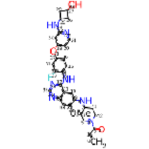 C=CC(=O)N1CCC(Nc2cc3c(Nc4ccc(Oc5ccnc(NC6CC(O)C6)c5)cc4F)ncnc3cc2OC)CC1